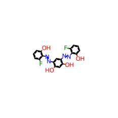 Oc1cc(O)c(N=Nc2c(O)cccc2F)cc1N=Nc1c(O)cccc1F